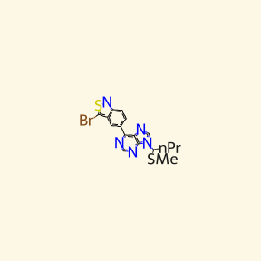 CCCC(SC)n1cnc2c(-c3ccc4nsc(Br)c4c3)ncnc21